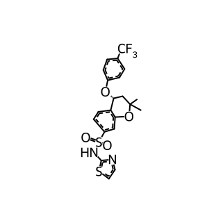 CC1(C)C[C@@H](Oc2ccc(C(F)(F)F)cc2)c2ccc(S(=O)(=O)Nc3nccs3)cc2O1